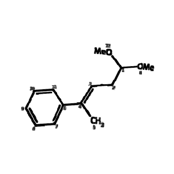 COC(CC=C(C)c1ccccc1)OC